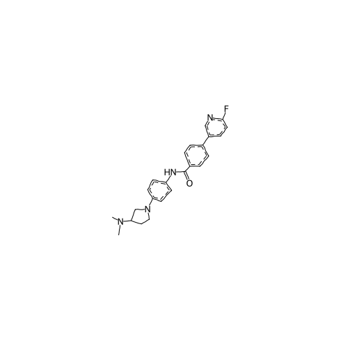 CN(C)C1CCN(c2ccc(NC(=O)c3ccc(-c4ccc(F)nc4)cc3)cc2)C1